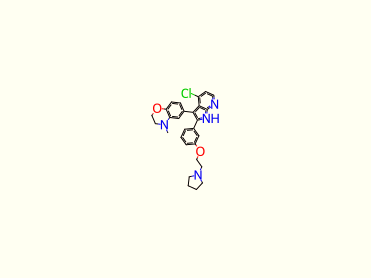 CN1CCOc2ccc(-c3c(-c4cccc(OCCN5CCCC5)c4)[nH]c4nccc(Cl)c34)cc21